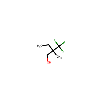 CCC(C)(CO)C(F)(F)F